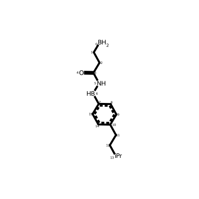 BCCC(=O)NBc1ccc(CCC(C)C)cc1